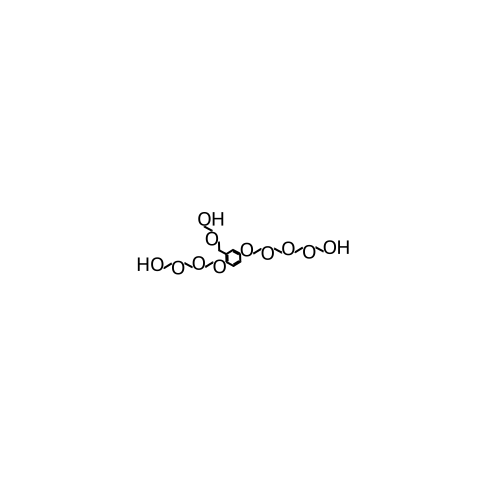 OCCOCCOCCOCCOc1ccc(OCCOCCOCCO)c(CCOCCO)c1